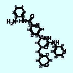 Nc1ccccc1NC(=O)c1ccc(C(CCCN2CCOCC2)NC(=O)Nc2cccnc2)cn1